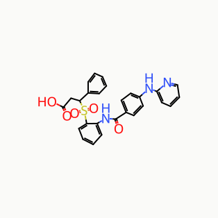 O=C(O)CC(c1ccccc1)S(=O)(=O)c1ccccc1NC(=O)c1ccc(Nc2ccccn2)cc1